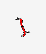 CCOC(C)CCOc1ccc(C(=O)Nc2ccc(C(=O)Oc3ccc(C(=O)Oc4ccc(-c5ccc(OC(=O)c6ccc(OC(=O)c7ccc(NC)cc7)cc6)cc5C)cc4C)cc3)cc2)c(OC)c1